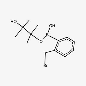 CC(C)(O)C(C)(C)OB(O)c1ccccc1CBr